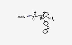 CNC/C=C/C(=O)NCCn1nc(-c2ccc(Oc3ccccc3)cc2)c2c(N)ncnc21